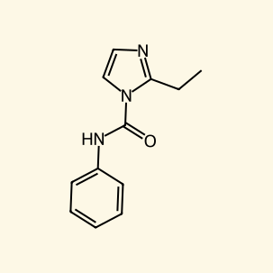 CCc1nccn1C(=O)Nc1ccccc1